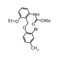 CCOc1cccc(NC(=O)OC)c1COc1ccc(C)cc1Br